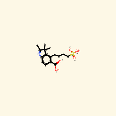 CC1=Nc2ccc(C(=O)O)c(CCCCS(=O)(=O)O)c2C1(C)C